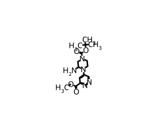 COC(=O)c1cc(N2CCN(C(=O)OC(C)(C)C)CC2N)cnn1